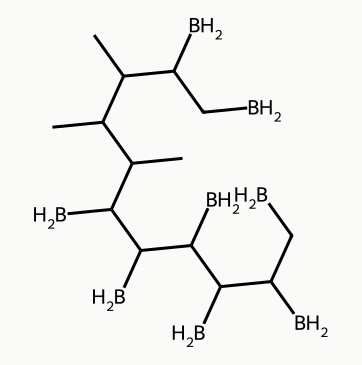 BCC(B)C(B)C(B)C(B)C(B)C(C)C(C)C(C)C(B)CB